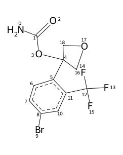 NC(=O)OC1(c2ccc(Br)cc2C(F)(F)F)COC1